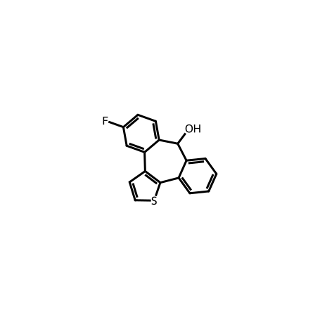 OC1c2ccc(F)cc2-c2ccsc2-c2ccccc21